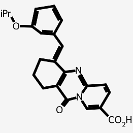 CC(C)Oc1cccc(C=C2CCCc3c2nc2ccc(C(=O)O)cn2c3=O)c1